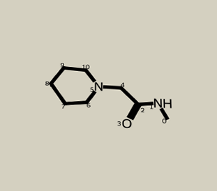 CNC(=O)CN1CC[CH]CC1